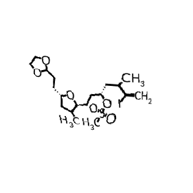 C=C(I)C(C)C[C@@H](CC[C@@H]1O[C@@H](CCC2OCCO2)CC1C)OS(C)(=O)=O